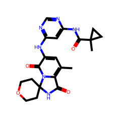 Cc1cc(Nc2cc(NC(=O)C3(C)CC3)ncn2)c(=O)n2c1C(=O)NC21CCOCC1